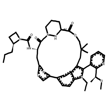 CCC[C@H]1CCN1C(=O)N[C@H]1Cc2nc(cs2)-c2ccc3c(c2)c(c(-c2cccnc2[C@H](C)OC)n3CC)CC(C)(C)COC(=O)[C@@H]2CCCN(N2)C1=O